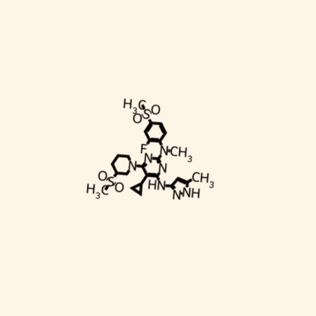 Cc1cc(Nc2nc(N(C)c3ccc(S(C)(=O)=O)cc3F)nc(N3CCCC(S(C)(=O)=O)C3)c2C2CC2)n[nH]1